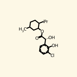 CC1CCC(C(C)C)C(OC(=O)[C@H](O)c2cccc(Cl)c2O)C1